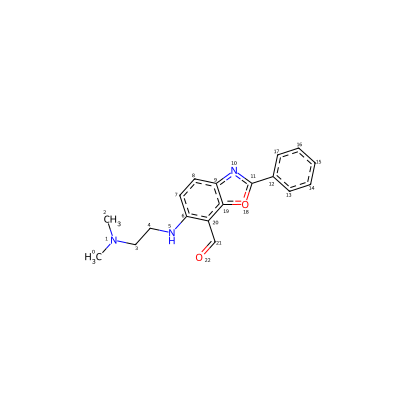 CN(C)CCNc1ccc2nc(-c3ccccc3)oc2c1C=O